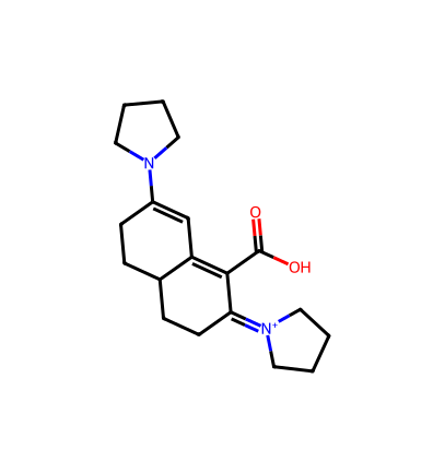 O=C(O)C1=C2C=C(N3CCCC3)CCC2CCC1=[N+]1CCCC1